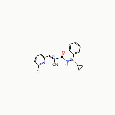 N#C/C(=C\c1cccc(Cl)n1)C(=O)N[C@@H](c1ccccc1)C1CC1